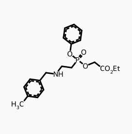 CCOC(=O)COP(=O)(CCNCc1ccc(C)cc1)Oc1ccccc1